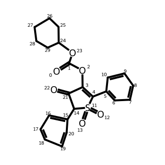 O=C(OC1=C(c2ccccc2)S(=O)(=O)C(c2ccccc2)C1=O)OC1CCCCC1